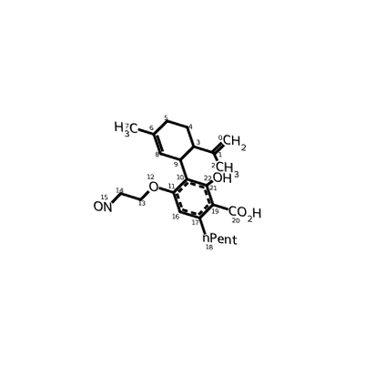 C=C(C)C1CCC(C)=CC1c1c(OCCN=O)cc(CCCCC)c(C(=O)O)c1O